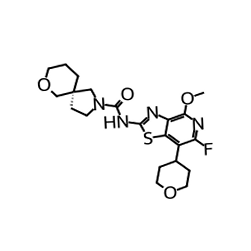 COc1nc(F)c(C2CCOCC2)c2sc(NC(=O)N3CC[C@]4(CCCOC4)C3)nc12